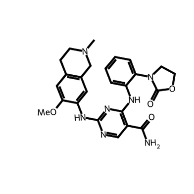 COc1cc2c(cc1Nc1ncc(C(N)=O)c(Nc3ccccc3N3CCOC3=O)n1)CN(C)CC2